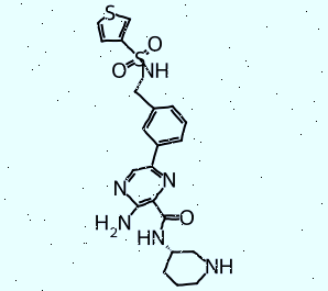 Nc1ncc(-c2cccc(CNS(=O)(=O)c3ccsc3)c2)nc1C(=O)N[C@H]1CCCNC1